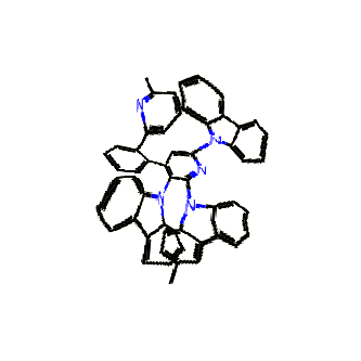 Cc1ccc2c(c1)c1ccccc1n2-c1nc(-n2c3ccccc3c3ccccc32)cc(-c2ccccc2-c2cccc(C)n2)c1-n1c2ccccc2c2ccccc21